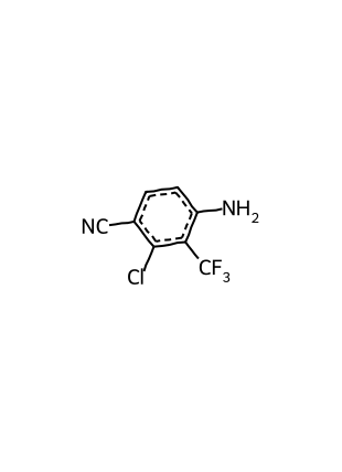 N#Cc1ccc(N)c(C(F)(F)F)c1Cl